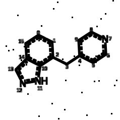 c1cc(Cc2ccncc2)c2[nH]ncc2c1